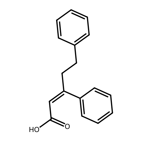 O=C(O)/C=C(/CCc1ccccc1)c1ccccc1